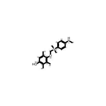 CNc1ccc([Si](C)(C)COc2c(C)cc(O)c(C)c2C)cc1